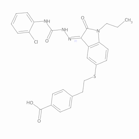 CCCN1C(=O)/C(=N\NC(=O)Nc2ccccc2Cl)c2cc(SCCc3ccc(C(=O)O)cc3)ccc21